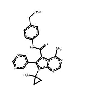 COCc1ccc(NC(=O)c2c(-c3cncnc3)n(C3(C)CC3)c3ncnc(N)c23)cc1